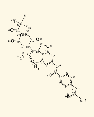 Cc1cc(OC(=O)c2ccc(NC(=N)N)cc2)cc2c1C(C(C(N)=O)[C@H](CC(=O)OC(=O)C(F)(F)F)C(=O)O)CO2